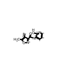 Cc1onc(C(=O)Nc2cccnc2O)c1Br